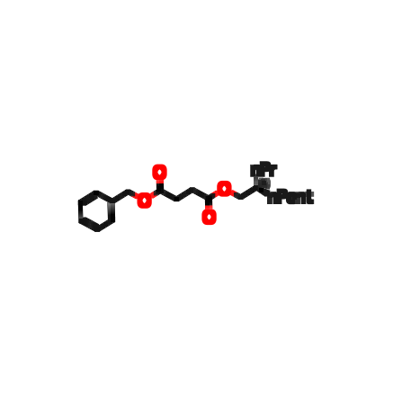 CCCCC[C@H](CCC)COC(=O)CCC(=O)OCc1ccccc1